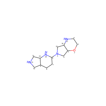 C1COC2CN(C3CCC4CNCC4N3)CC2N1